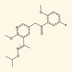 COc1ccc(F)cc1C(=O)Cc1cnc(OC)c(/C(C)=N/OC(C)C)c1